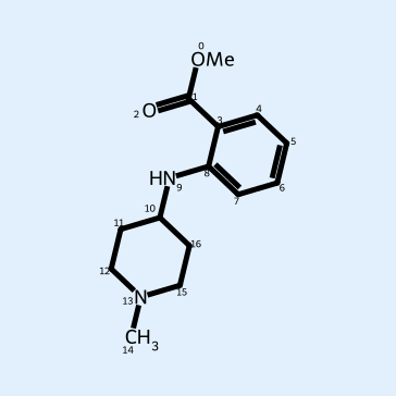 COC(=O)c1ccccc1NC1CCN(C)CC1